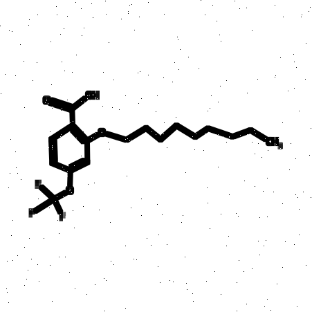 CCCCCCCCCOc1cc(OC(F)(F)F)ccc1C(=O)O